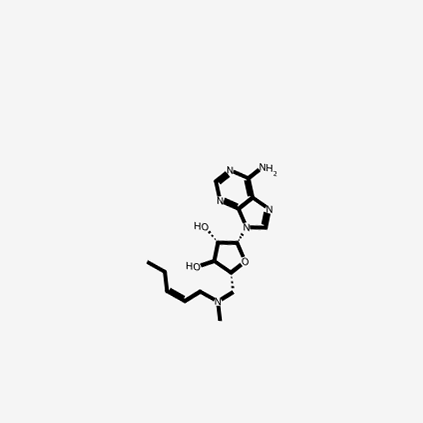 CC/C=C\CN(C)C[C@H]1O[C@@H](n2cnc3c(N)ncnc32)[C@@H](O)C1O